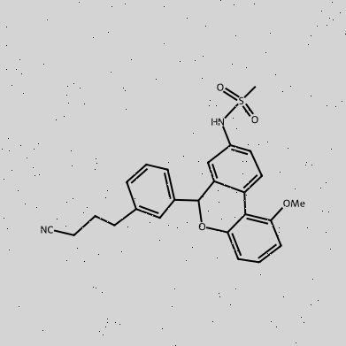 COc1cccc2c1-c1ccc(NS(C)(=O)=O)cc1C(c1cccc(CCCC#N)c1)O2